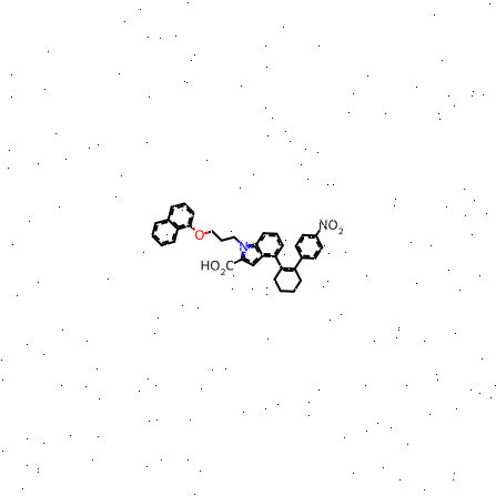 O=C(O)c1cc2c(C3=C(c4ccc([N+](=O)[O-])cc4)CCCC3)cccc2n1CCCOc1cccc2ccccc12